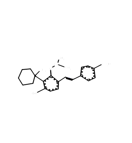 C[SiH](C)Oc1c(/C=C/c2ccc(C(=O)O)cc2)ccc(C(C)(C)C)c1C1(C)CCCCC1